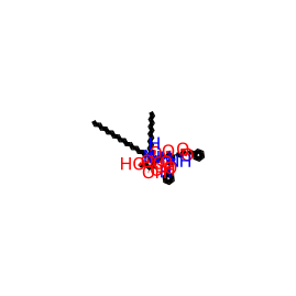 CCCCCCCCCCCCCCCCCCN(C(=O)CCCCCCCCCCC)[C@@]1(NC(=O)CNC(=O)[C@H](CCC(=O)OCc2ccccc2)NC(=O)OCc2ccccc2)C[C@@H](O)[C@H](O)[C@@H](CO)O1